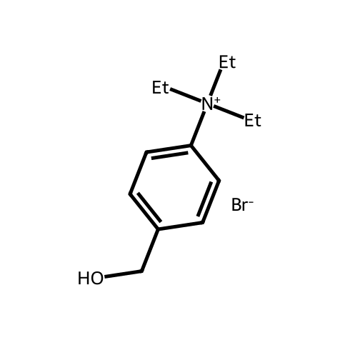 CC[N+](CC)(CC)c1ccc(CO)cc1.[Br-]